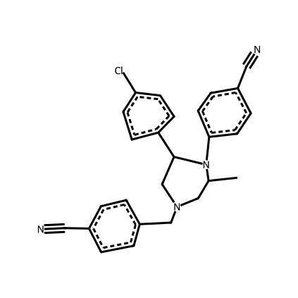 CC1CN(Cc2ccc(C#N)cc2)CC(c2ccc(Cl)cc2)N1c1ccc(C#N)cc1